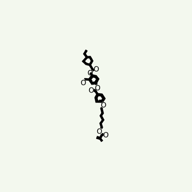 C=C(C)C(=O)OCCCCCCOc1ccc(C(=O)Oc2ccc(OC(=O)C3CCC(CC)CC3)c(C=O)c2)cc1